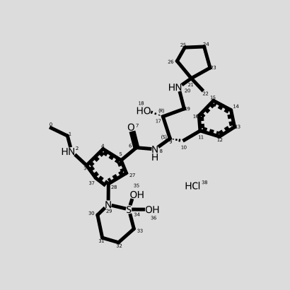 CCNc1cc(C(=O)N[C@@H](Cc2ccccc2)[C@H](O)CNC2(C)CCCC2)cc(N2CCCCS2(O)O)c1.Cl